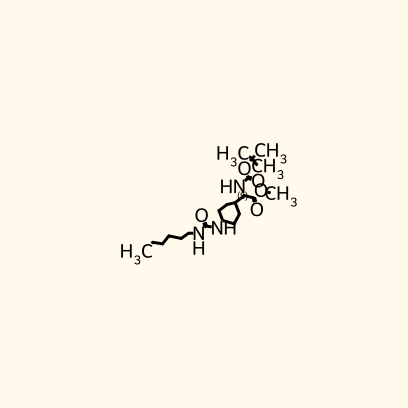 CCCCCCNC(=O)NC1CCC([C@H](NC(=O)OC(C)(C)C)C(=O)OC)CC1